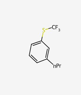 [CH2]CCc1cccc(SC(F)(F)F)c1